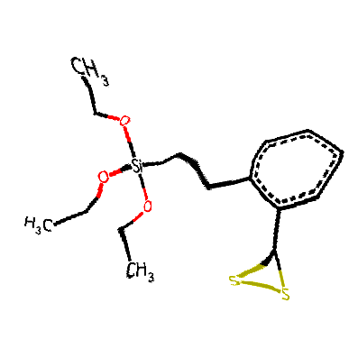 CCO[Si](CCc1ccccc1C1SS1)(OCC)OCC